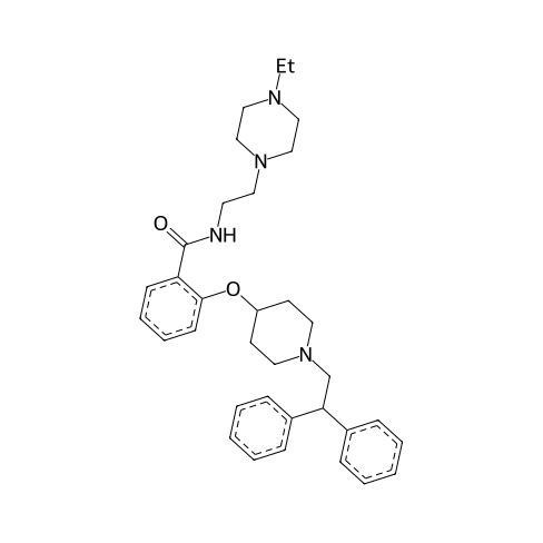 CCN1CCN(CCNC(=O)c2ccccc2OC2CCN(CC(c3ccccc3)c3ccccc3)CC2)CC1